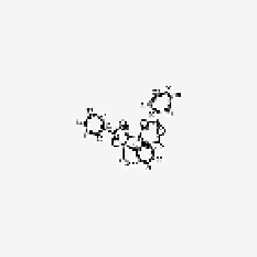 CCCC(CC(CC)(OC(=O)c1ccccc1)c1ccccc1)OC(=O)c1ccccc1